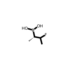 CC(F)[C@H](C)B(O)O